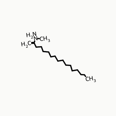 C=C(CCCCCCCCCCCCCCC)N(C)N